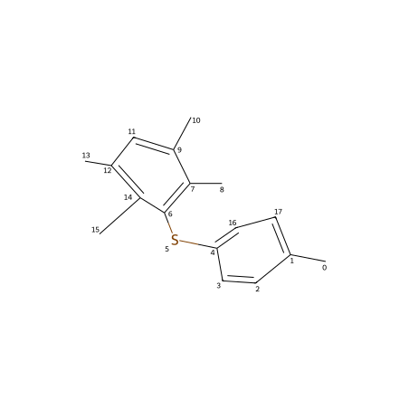 Cc1ccc(Sc2c(C)c(C)cc(C)c2C)cc1